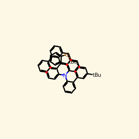 CC(C)(C)c1cc(-c2ccccc2N(c2ccccc2-c2cccc3cccc(-c4ccccc4)c23)c2cccc3sc4ccccc4c23)cc(C(C)(C)C)c1